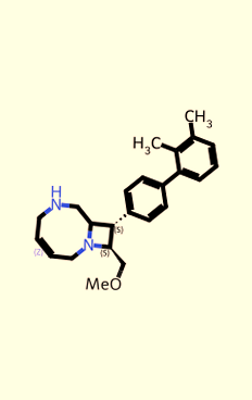 COC[C@@H]1[C@@H](c2ccc(-c3cccc(C)c3C)cc2)C2CNC/C=C\CN21